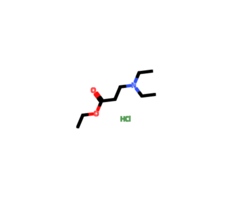 CCOC(=O)CCN(CC)CC.Cl